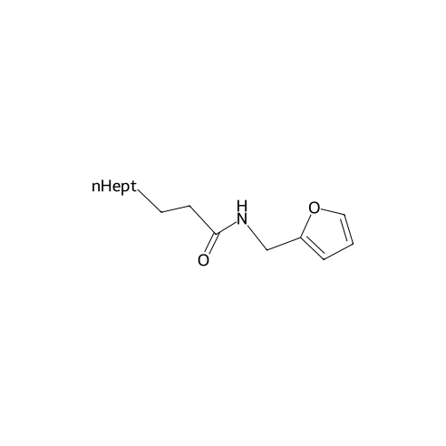 CCCCCCCCCC(=O)NCc1ccco1